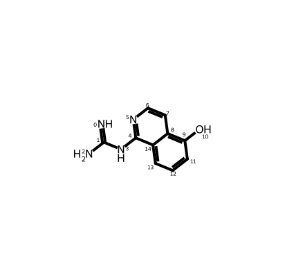 N=C(N)Nc1nccc2c(O)cccc12